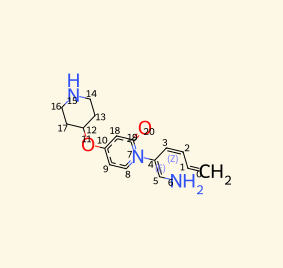 C=C/C=C\C(=C/N)n1ccc(OC2CCNCC2)cc1=O